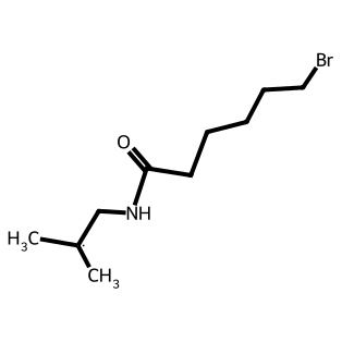 C[C](C)CNC(=O)CCCCCBr